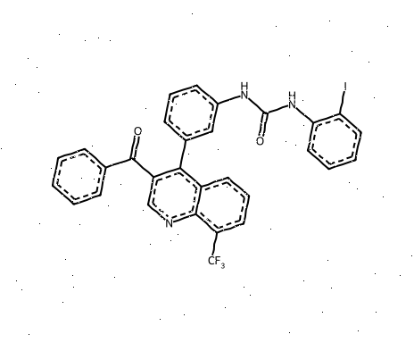 O=C(Nc1cccc(-c2c(C(=O)c3ccccc3)cnc3c(C(F)(F)F)cccc23)c1)Nc1ccccc1I